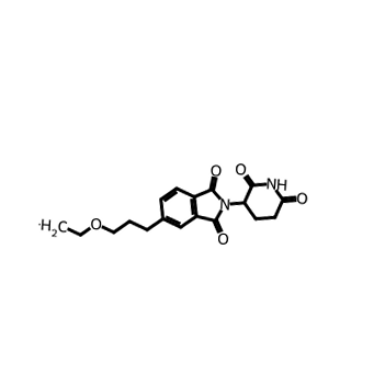 [CH2]COCCCc1ccc2c(c1)C(=O)N(C1CCC(=O)NC1=O)C2=O